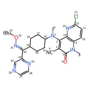 CN(c1c(C#N)c(=O)n(C)c2ccc(Cl)nc12)C1CCC(/C(=N\OC(C)(C)C)c2cnccn2)CC1